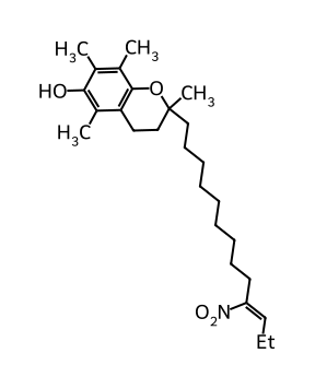 CC/C=C(/CCCCCCCCCC1(C)CCc2c(C)c(O)c(C)c(C)c2O1)[N+](=O)[O-]